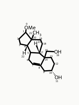 COC1CC[C@H]2C3CC=C4C[C@@H](O)CCC4(CO)[C@H]3CCC12C